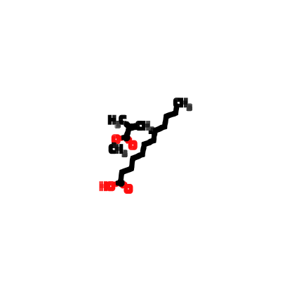 C=C(C)C(=O)OC.CCCCCCCCCCCC(=O)O